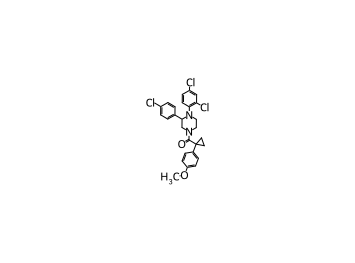 COc1ccc(C2(C(=O)N3CCN(c4ccc(Cl)cc4Cl)C(c4ccc(Cl)cc4)C3)CC2)cc1